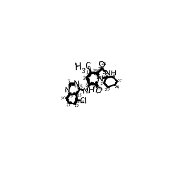 Cc1cc(Nc2ncnc3cccc(Cl)c23)c(=O)n2c1C(=O)NC21CCCCC1